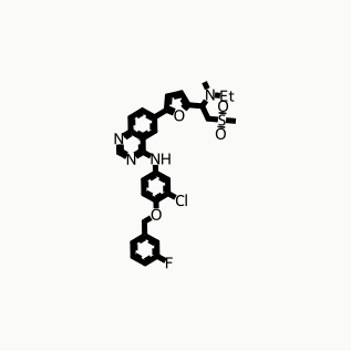 CCN(C)C(CS(C)(=O)=O)c1ccc(-c2ccc3ncnc(Nc4ccc(OCc5cccc(F)c5)c(Cl)c4)c3c2)o1